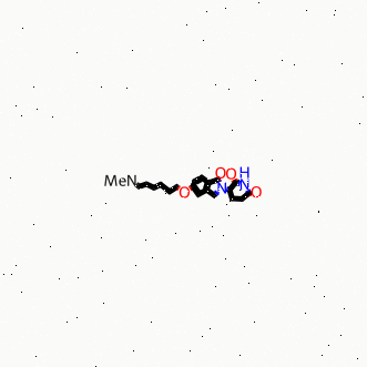 CNCCCCCCOc1ccc2c(c1)CN(C1CCC(=O)NC1=O)C2=O